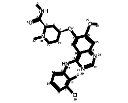 CNC(=O)[C@H]1C[C@@H](Oc2cc3c(Nc4cccc(Cl)c4F)ncnc3cc2OC)CCN1C